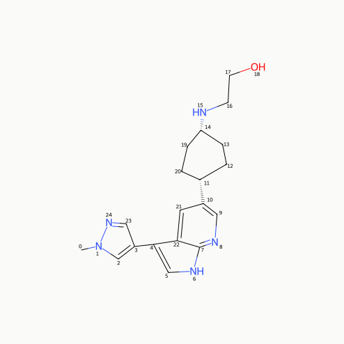 Cn1cc(-c2c[nH]c3ncc([C@H]4CC[C@@H](NCCO)CC4)cc23)cn1